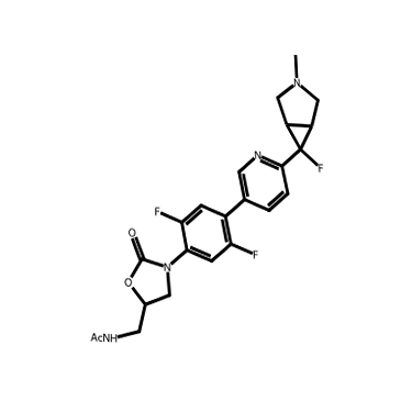 CC(=O)NCC1CN(c2cc(F)c(-c3ccc(C4(F)C5CN(C)CC54)nc3)cc2F)C(=O)O1